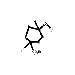 CCOC(=O)C1(F)CCC(C)(OCC)CC1